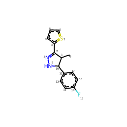 CC1C(c2cccs2)=NNC1c1ccc(F)cc1